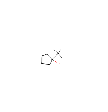 CC(C)(C)C1(O)CCCC1